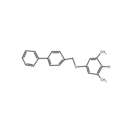 Cc1cc(SCc2ccc(-c3ccccc3)cc2)cc(C)c1[O]